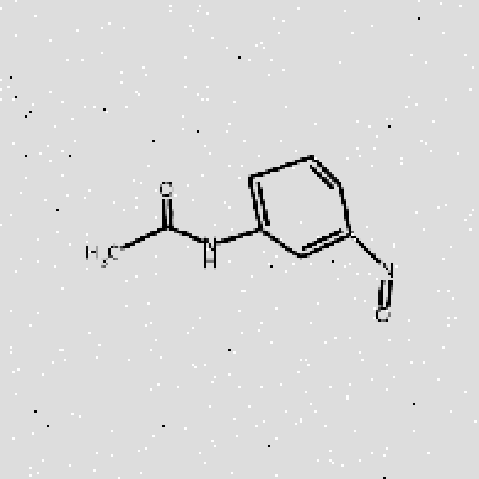 CC(=O)Nc1cccc(N=O)c1